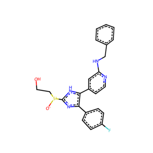 [O-][S+](CCO)c1nc(-c2ccc(F)cc2)c(-c2ccnc(NCc3ccccc3)c2)[nH]1